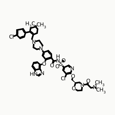 CN(C)CC(=O)N1CCO[C@@H](COc2ncc(S(=O)(=O)NC(=O)c3ccc(N4CCN(CC5=C(c6ccc(Cl)cc6)CC(C)(C)CC5)CC4)cc3Oc3cccc4[nH]cnc34)cc2Cl)C1